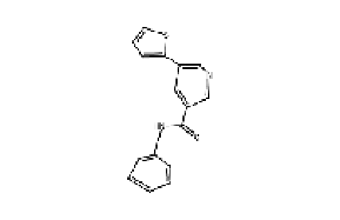 O=C(Nc1ccccc1)c1cncc(-c2cccs2)c1